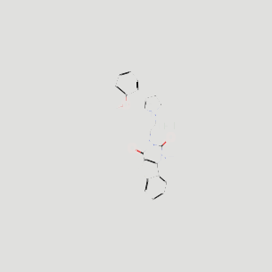 COc1ccccc1[C@@H]1CCN(CCn2c(=O)[nH]c3c(sc4ccccc43)c2=O)C1.Cl